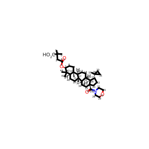 CC(C)(CC(=O)O[C@H]1CC[C@]2(C)[C@H]3CC[C@@H]4[C@H]5[C@H](C6(C)CC6)CC[C@]5(C(=O)N5CCOCC5)CC[C@@]4(C)[C@]3(C)CC[C@H]2C1(C)C)C(=O)O